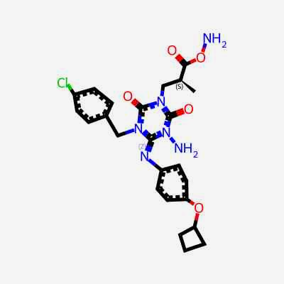 C[C@@H](Cn1c(=O)n(N)/c(=N\c2ccc(OC3CCC3)cc2)n(Cc2ccc(Cl)cc2)c1=O)C(=O)ON